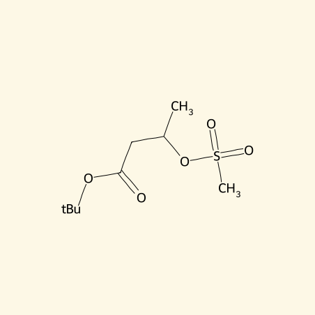 CC(CC(=O)OC(C)(C)C)OS(C)(=O)=O